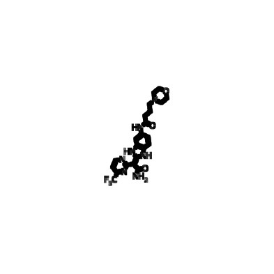 NC(=O)/C(=C1\Nc2ccc(NC(=O)CCCN3CCOCC3)cc2N1)c1nccc(C(F)(F)F)n1